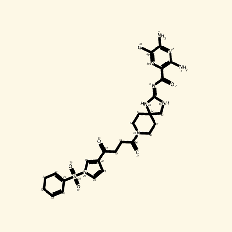 Nc1nc(N)c(C(=O)/N=C2\NCC3(CCN(C(=O)CCC(=O)c4ccn(S(=O)(=O)C5=CCCC=C5)c4)CC3)N2)nc1Cl